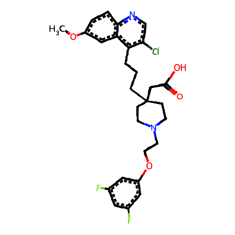 COc1ccc2ncc(Cl)c(CCCC3(CC(=O)O)CCN(CCOc4cc(F)cc(F)c4)CC3)c2c1